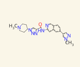 CN1CCC(n2cc(C(=O)Nc3cc4cc(-c5cnn(C)c5)ccc4cn3)nn2)CC1